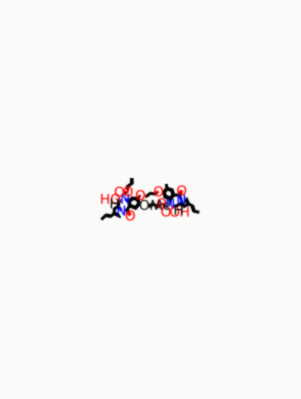 C=CCOC(=O)N1c2cc(OCCCOc3cc4c(cc3OC)C(=O)N3C=C(/C=C/C)C[C@H]3[C@H](O)N4C(=O)OCC=C)c(C)cc2C(=O)N2C=C(/C=C/C)C[C@H]2[C@@H]1O